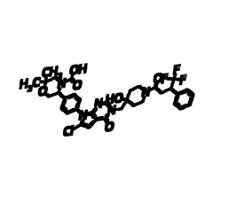 CC1(C)CN(C(=O)O)C(c2ccc(-n3c(Cl)cc4c(=O)n(CC5(O)CCN(C(=O)CC(c6ccccc6)C(F)(F)F)CC5)cnc43)cc2)CO1